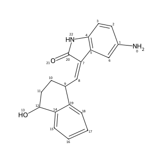 Nc1ccc2c(c1)C(=CC1CCC(O)c3ccccc31)C(=O)N2